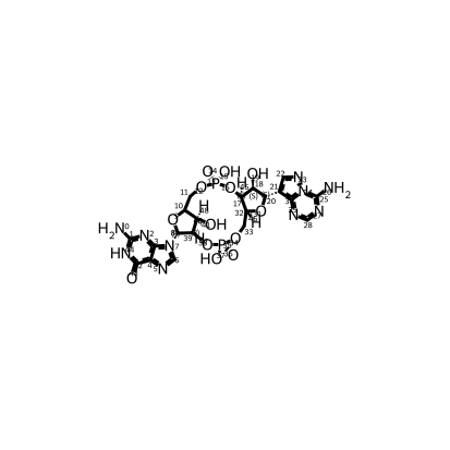 Nc1nc2c(ncn2[C@@H]2OC3COP(=O)(O)O[C@H]4[C@@H](O)[C@H](c5cnn6c(N)ncnc56)O[C@@H]4COP(=O)(O)O[C@@H]2[C@@H]3O)c(=O)[nH]1